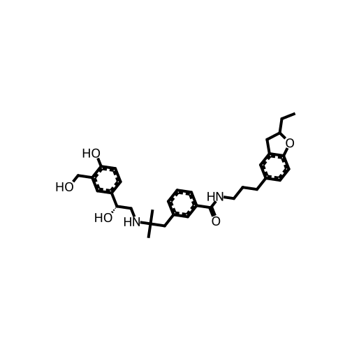 CCC1Cc2cc(CCCNC(=O)c3cccc(CC(C)(C)NC[C@H](O)c4ccc(O)c(CO)c4)c3)ccc2O1